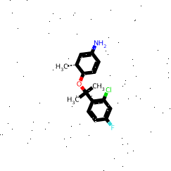 C[C@@H]1C=C(N)C=CC1OC(C)(C)c1ccc(F)cc1Cl